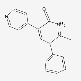 CNC(/C=C(\C(N)=O)c1ccncc1)c1ccccc1